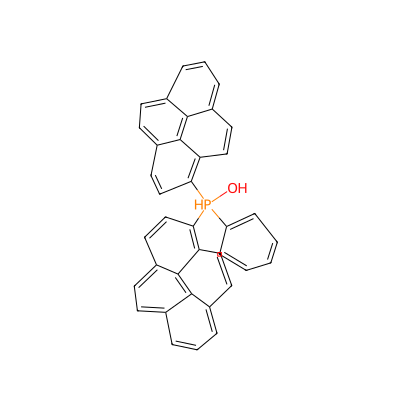 O[PH](c1ccccc1)(c1ccc2ccc3cccc4ccc1c2c34)c1ccc2ccc3cccc4ccc1c2c34